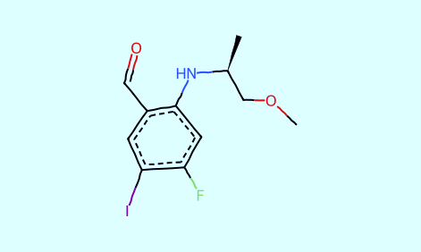 COC[C@H](C)Nc1cc(F)c(I)cc1C=O